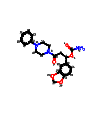 NC(=O)OC(CC(=O)N1CCN(c2ccccc2)CC1)c1ccc2c(c1)OCO2